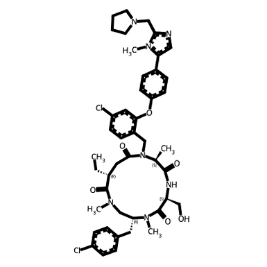 CC[C@@H]1CC(=O)N(Cc2ccc(Cl)cc2Oc2ccc(-c3cnc(CN4CCCC4)n3C)cc2)[C@@H](C)C(=O)N[C@@H](CO)C(=O)N(C)[C@H](Cc2ccc(Cl)cc2)CN(C)C1=O